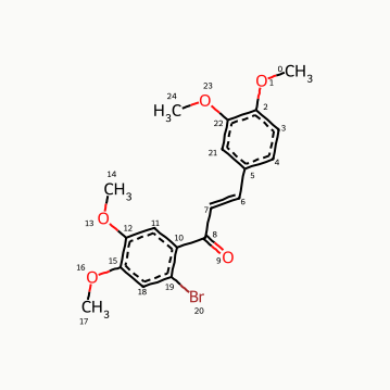 COc1ccc(/C=C/C(=O)c2cc(OC)c(OC)cc2Br)cc1OC